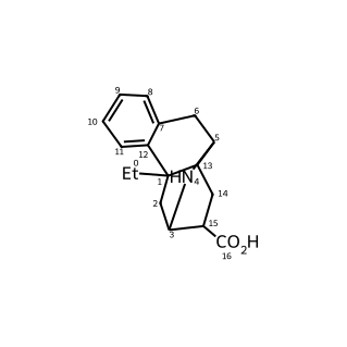 CCC12CC3NC(Cc4ccccc41)C2CC3C(=O)O